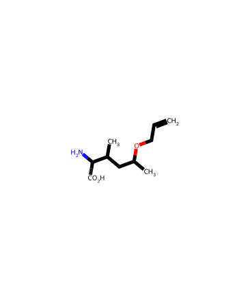 C=CCOC(C)CC(C)C(N)C(=O)O